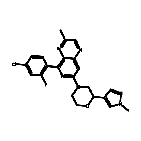 Cc1cnc2cc(N3CCOC(c4cnn(C)c4)C3)nc(-c3ccc(Cl)cc3F)c2n1